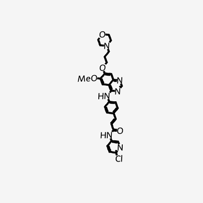 COc1cc2c(Nc3ccc(C=CC(=O)Nc4ccc(Cl)nc4)cc3)ncnc2cc1OCCCN1CCOCC1